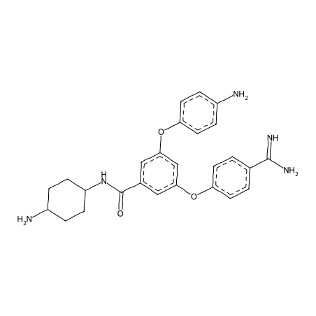 N=C(N)c1ccc(Oc2cc(Oc3ccc(N)cc3)cc(C(=O)NC3CCC(N)CC3)c2)cc1